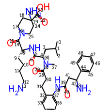 CC(C)C[C@H](C(=O)N[C@H](CCCCN)C(=O)N1CCC(N)(C(=O)O)CC1)N(C)C(=O)CCc1ccccc1NC(=O)CC(N)c1ccccc1